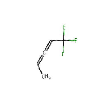 CC=C=CC(F)(F)F